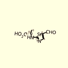 C[C@H](Nc1ncc(C=O)s1)C(=O)O